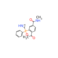 CNC(=O)c1ccc(C(C)=O)c(P(=O)(c2ccccc2)C2CN2)c1